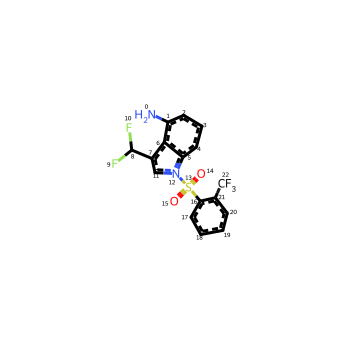 Nc1cccc2c1c(C(F)F)cn2S(=O)(=O)c1ccccc1C(F)(F)F